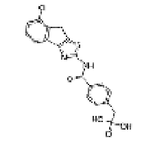 O=C(Nc1nc2c(s1)Cc1c(Cl)cccc1-2)c1ccc(CP(=O)(O)O)cc1